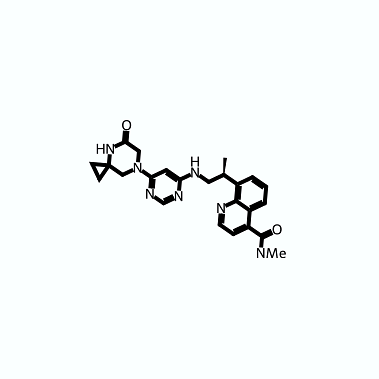 CNC(=O)c1ccnc2c([C@H](C)CNc3cc(N4CC(=O)NC5(CC5)C4)ncn3)cccc12